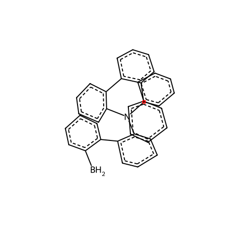 Bc1ccccc1-c1ccccc1N(c1ccccc1)c1ccccc1-c1ccccc1-c1ccccc1